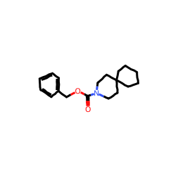 O=C(OCc1ccccc1)N1CCC2(CCCCC2)CC1